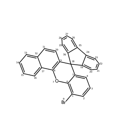 Brc1cccc2c1Oc1c(ccc3ccccc13)C21c2ccccc2-c2ccccc21